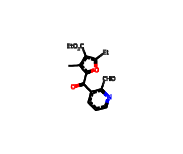 CCOC(=O)c1c(CC)oc(C(=O)c2cccnc2C=O)c1C